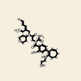 C=C/C(=C\C=C\F)CN(C(=O)CN(C(N)=O)C(=O)c1ccc(C2=C(NCCO)CCCC=C2)cc1CCC)C1CCOCC1